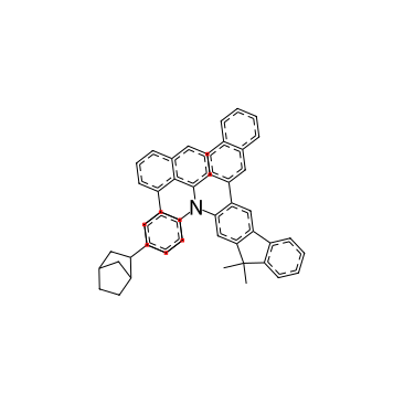 CC1(C)c2ccccc2-c2cc(-c3ccc4ccccc4c3)c(N(c3ccc(C4CC5CCC4C5)cc3)c3cccc4cccc(C5CCCCC5)c34)cc21